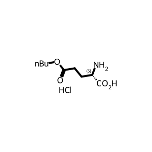 CCCCOC(=O)CC[C@H](N)C(=O)O.Cl